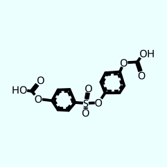 O=C(O)Oc1ccc(OS(=O)(=O)c2ccc(OC(=O)O)cc2)cc1